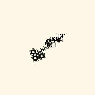 CNCCNC(=O)C[C@H](NC(=O)CCCCCSC(c1ccccc1)(c1ccccc1)c1ccccc1)C(=O)O